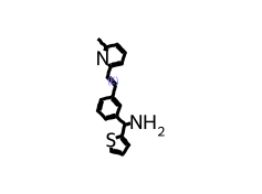 Cc1cccc(/C=C/c2cccc(C(N)c3cccs3)c2)n1